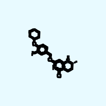 C[C@@H]1CCn2c(cc(OCc3ccc(OC4CCCCC4)c(F)c3)nc2=O)N1C